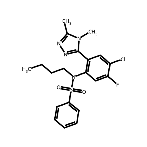 CCCCN(c1cc(F)c(Cl)cc1-c1nnc(C)n1C)S(=O)(=O)c1ccccc1